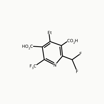 CCc1c(C(=O)O)c(C(F)F)nc(C(F)(F)F)c1C(=O)O